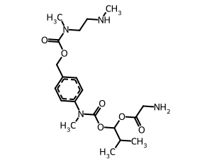 CNCCN(C)C(=O)OCc1ccc(N(C)C(=O)OC(OC(=O)CN)C(C)C)cc1